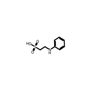 O=S(=O)(O)CCNc1ccccc1